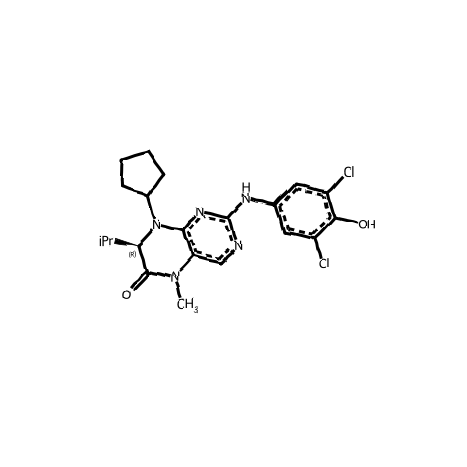 CC(C)[C@@H]1C(=O)N(C)c2cnc(Nc3cc(Cl)c(O)c(Cl)c3)nc2N1C1CCCC1